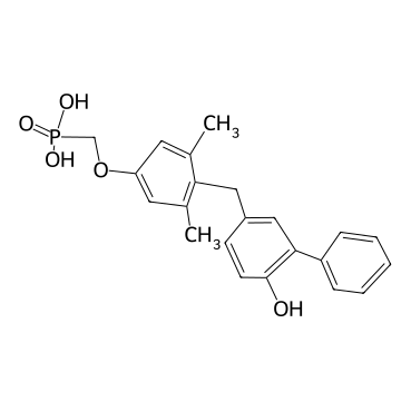 Cc1cc(OCP(=O)(O)O)cc(C)c1Cc1ccc(O)c(-c2ccccc2)c1